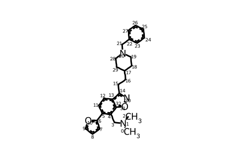 CN(C)Cc1c(-c2ccco2)ccc2c(CCC3CCN(Cc4ccccc4)CC3)noc12